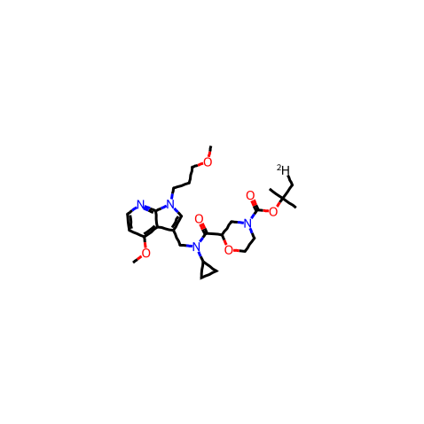 [2H]CC(C)(C)OC(=O)N1CCOC(C(=O)N(Cc2cn(CCCOC)c3nccc(OC)c23)C2CC2)C1